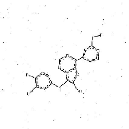 Nc1oc2c(-c3ccnc(CF)c3)nccc2c1Nc1ccc(F)c(Cl)c1